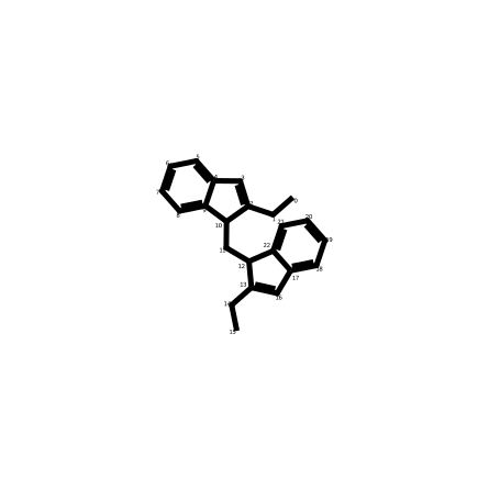 CCC1=Cc2ccccc2C1CC1C(CC)=Cc2ccccc21